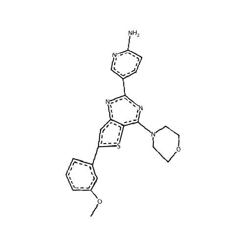 COc1cccc(-c2cc3nc(-c4ccc(N)nc4)nc(N4CCOCC4)c3s2)c1